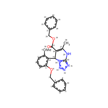 COc1cccc(OCc2ccccc2)c1C1C(C(=O)OCc2ccccc2)=C(C)Nc2nnnn21